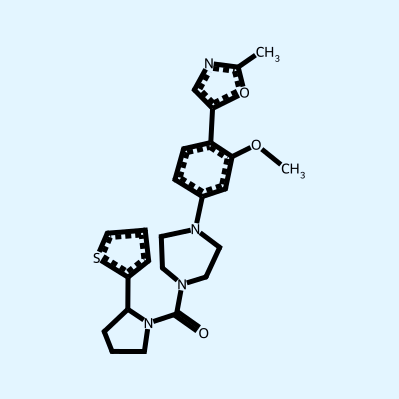 COc1cc(N2CCN(C(=O)N3CCCC3c3cccs3)CC2)ccc1-c1cnc(C)o1